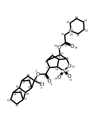 CCC1(OC(=O)C2C3CC4C(OS(=O)(=O)C42)C3OC(=O)CN2CCCCC2)CC2CC1C1C3CCC(C3)C21